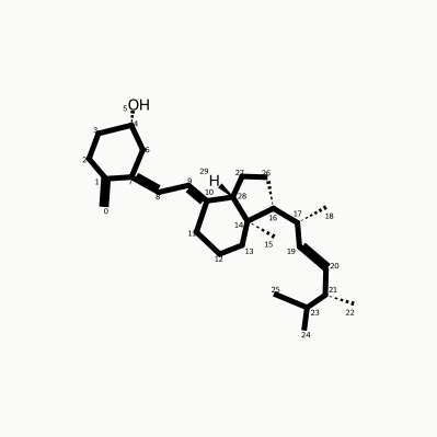 C=C1CC[C@H](O)C/C1=C\C=C1/CCC[C@]2(C)[C@@H]([C@H](C)/C=C/[C@H](C)C(C)C)CC[C@@H]12